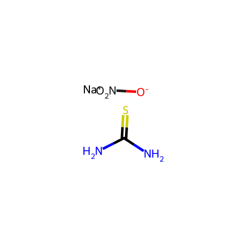 NC(N)=S.O=[N+]([O-])[O-].[Na+]